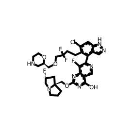 Oc1nc(OC[C@@]23CCCN2C[C@H](F)C3)nc2c(F)c(-c3c(CCC(F)(F)COC[C@H]4CNCCO4)c(Cl)cc4[nH]ncc34)ncc12